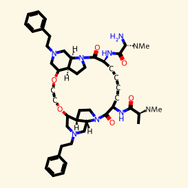 CN[C@@H](C)C(=O)NC1CCCC[C@H](NC(=O)[C@H](N)NC)C(=O)N2CC[C@H]3C(CN(CCc4ccccc4)C[C@H]32)OCCOC2CN(CCc3ccccc3)C[C@@H]3[C@H]2CCN3C1=O